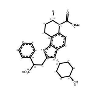 COC(=O)N1c2ccc3c(nc(CC(C(=O)O)c4ccccc4)n3[C@H]3CC[C@H](C#N)CC3)c2CC[C@@H]1C